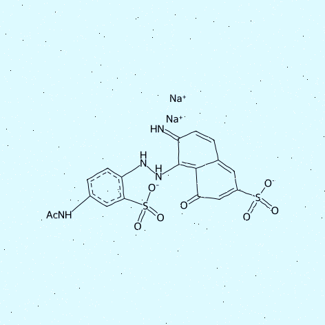 CC(=O)Nc1ccc(NNC2=C3C(=O)C=C(S(=O)(=O)[O-])C=C3C=CC2=N)c(S(=O)(=O)[O-])c1.[Na+].[Na+]